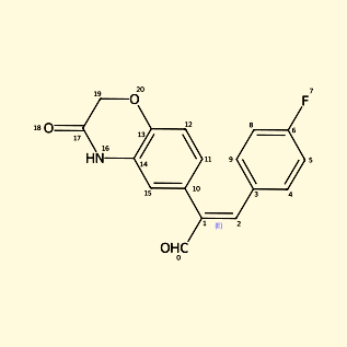 O=C/C(=C/c1ccc(F)cc1)c1ccc2c(c1)NC(=O)CO2